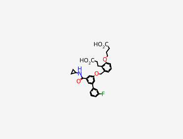 O=C(O)CCCOc1cccc(COc2cc(C(=O)NC3CC3)cc(-c3cccc(F)c3)c2)c1CCC(=O)O